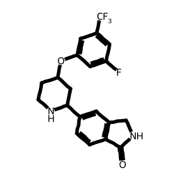 O=C1NCc2cc(C3CC(Oc4cc(F)cc(C(F)(F)F)c4)CCN3)ccc21